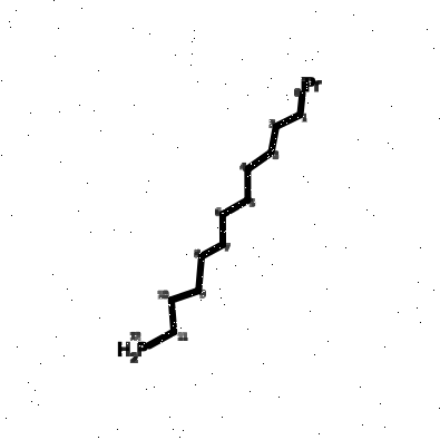 CC(C)CCCCCCCCCCCP